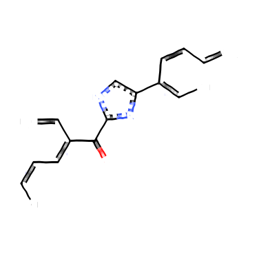 C=C/C=C\C(=C/C)c1c[nH]c(C(=O)/C(C=C)=C/C=C\C)n1